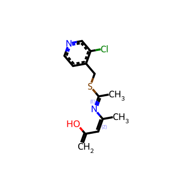 C=C(O)/C=C(C)\N=C(/C)SCc1ccncc1Cl